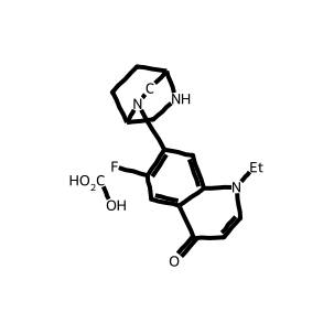 CCn1ccc(=O)c2cc(F)c(N3CC4CCC3CN4)cc21.O=C(O)O